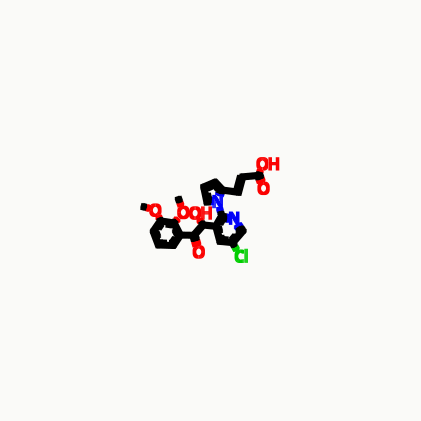 COc1cccc(C(=O)C(O)c2cc(Cl)cnc2-n2cccc2C=CC(=O)O)c1OC